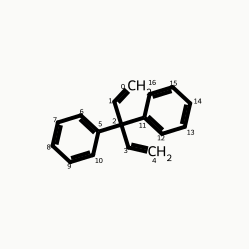 C=CC(C=C)(c1ccccc1)c1ccccc1